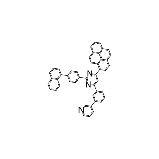 c1cncc(-c2cccc(-c3cc(-c4ccc5ccc6cccc7ccc4c5c67)nc(-c4ccc(-c5cccc6ccccc56)cc4)n3)c2)c1